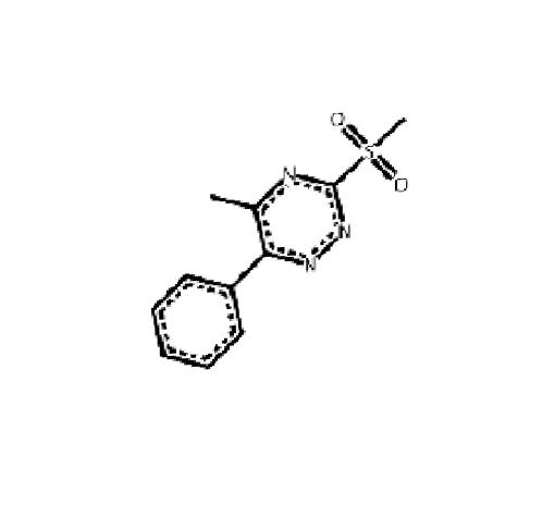 Cc1nc(S(C)(=O)=O)nnc1-c1ccccc1